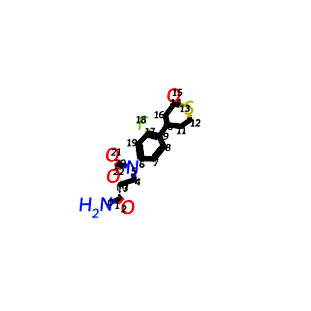 NC(=O)[C@H]1CN(c2ccc(C3CCSC(=O)C3)c(F)c2)C(=O)O1